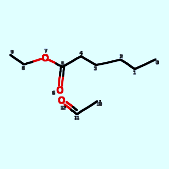 CCCCCC(=O)OCC.[CH2]C=O